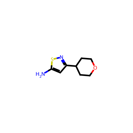 Nc1cc(C2CCOCC2)ns1